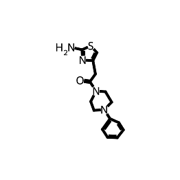 Nc1nc(CC(=O)N2CCN(c3ccccc3)CC2)cs1